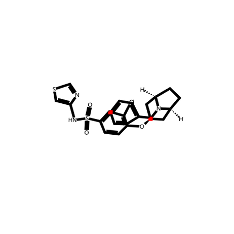 O=S(=O)(Nc1cscn1)c1ccc(O[C@H]2C[C@H]3CC[C@@H](C2)N3Cc2ccccc2)c(Cl)c1